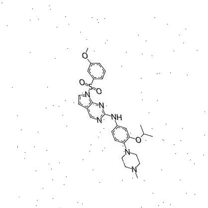 COc1cccc(S(=O)(=O)n2ccc3cnc(Nc4ccc(N5CCN(C)CC5)c(OC(C)C)c4)nc32)c1